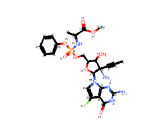 CC#C[C@@]1(N)C(O)C(COP(=O)(NC(C)C(=O)OC(C)C)Oc2ccccc2)OC1n1cc(F)c2c(=O)[nH]c(N)nc21